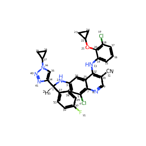 [2H][C@](Nc1cc(Cl)c2ncc(C#N)c(Nc3cccc(Cl)c3OC3CC3)c2c1)(c1ccc(F)cc1)c1cn(C2CC2)nn1